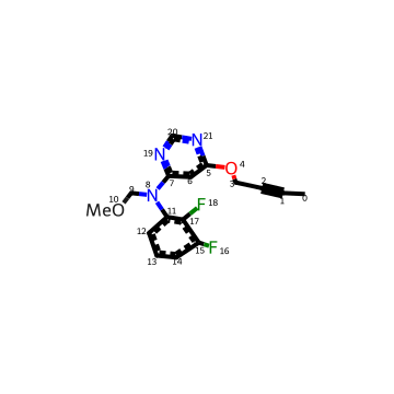 CC#CCOc1cc(N(COC)c2cccc(F)c2F)ncn1